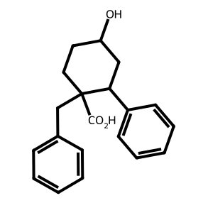 O=C(O)C1(Cc2ccccc2)CCC(O)CC1c1ccccc1